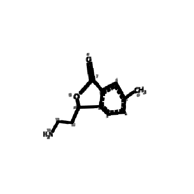 Cc1ccc2c(c1)C(=O)OC2CCN